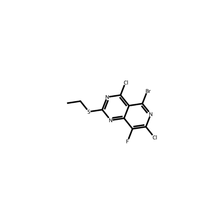 CCSc1nc(Cl)c2c(Br)nc(Cl)c(F)c2n1